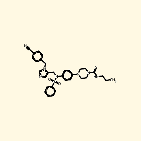 CCCNC(=S)N1CCN(c2ccc(N(Cc3cncn3Cc3ccc(C#N)cc3)S(=O)(=O)c3ccccc3)cc2)CC1